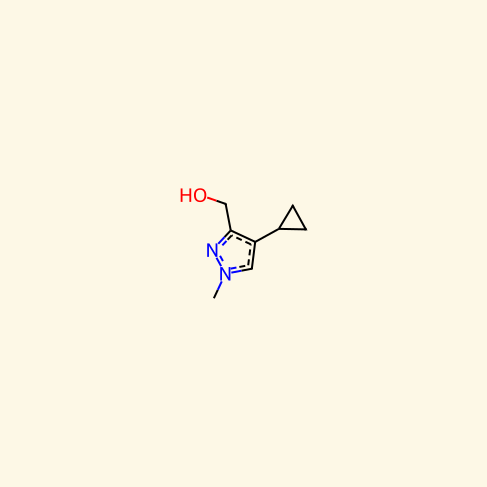 Cn1cc(C2CC2)c(CO)n1